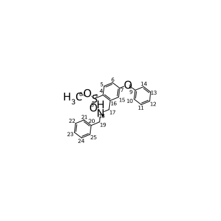 COS(=O)c1ccc(Oc2ccccc2)cc1CNCc1ccccc1